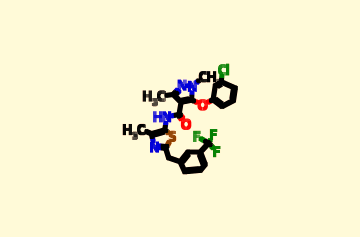 Cc1nc(Cc2cccc(C(F)(F)F)c2)sc1NC(=O)c1c(C)nn(C)c1Oc1cccc(Cl)c1